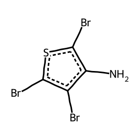 Nc1c(Br)sc(Br)c1Br